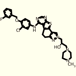 CN1CCN(C[C@@H](O)Cn2cc3c(n2)CCc2c-3sc3ncnc(Nc4ccc(OCc5cccc(F)c5)c(Cl)c4)c23)CC1